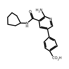 Nc1ncc(-c2ccc(C(=O)O)cc2)cc1C(=O)NC1CCCCC1